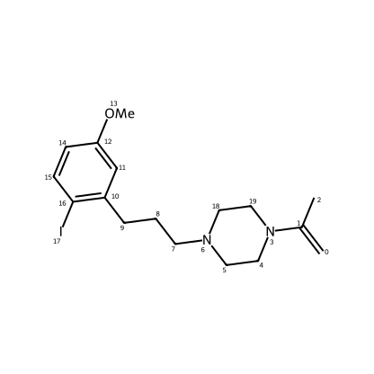 C=C(C)N1CCN(CCCc2cc(OC)ccc2I)CC1